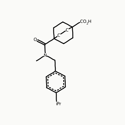 CC(C)c1ccc(CN(C)C(=O)C23CCC(C(=O)O)(CC2)CC3)cc1